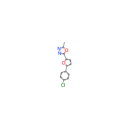 Cc1nnc(-c2ccc(-c3ccc(Cl)cc3)o2)o1